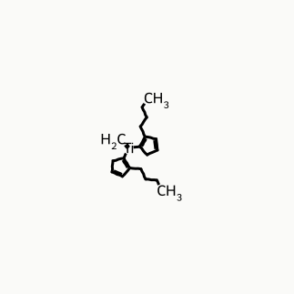 [CH2]=[Ti]([C]1=C(CCCC)C=CC1)[C]1=C(CCCC)C=CC1